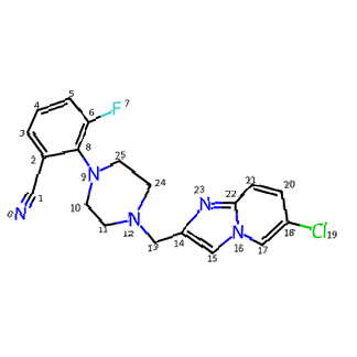 N#Cc1cccc(F)c1N1CCN(Cc2cn3cc(Cl)ccc3n2)CC1